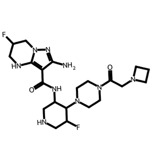 Nc1nn2c(c1C(=O)NC1CNCC(F)C1N1CCN(C(=O)CN3CCC3)CC1)NCC(F)C2